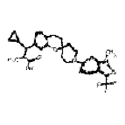 CC(C(=O)O)C(c1ccc2c(c1)OC1(CC2)CCN(c2ccc3c(C(F)(F)F)nn(C)c3c2)CC1)C1CC1